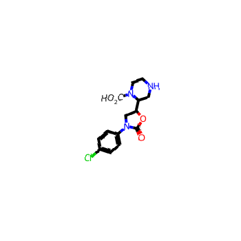 O=C1OC(C2CNCCN2C(=O)O)CN1c1ccc(Cl)cc1